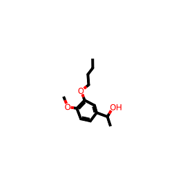 CCCCOc1cc(C(C)O)ccc1OC